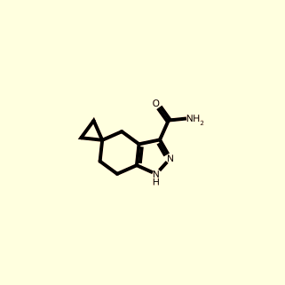 NC(=O)c1n[nH]c2c1CC1(CC2)CC1